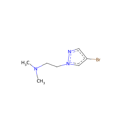 CN(C)CCn1cc(Br)cn1